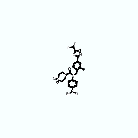 CCN(CC)c1ccc(N(Cc2ccc(-c3nnc(C(F)F)o3)cc2F)C(=O)N2CCS(=O)(=O)CC2)cc1